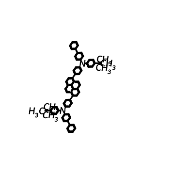 CC(C)(C)c1ccc(N(c2ccc(-c3ccccc3)cc2)c2ccc(-c3ccc4ccc5c(-c6ccc(N(c7ccc(-c8ccccc8)cc7)c7ccc(C(C)(C)C)cc7)cc6)ccc6ccc3c4c65)cc2)cc1